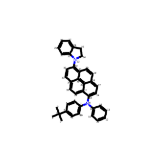 CC(C)(C)c1ccc(N(c2ccccc2)c2ccc3ccc4c(N5CCc6ccccc65)ccc5ccc2c3c54)cc1